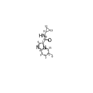 Cc1ccc2ncc(C(=O)NC3CC3)n2c1